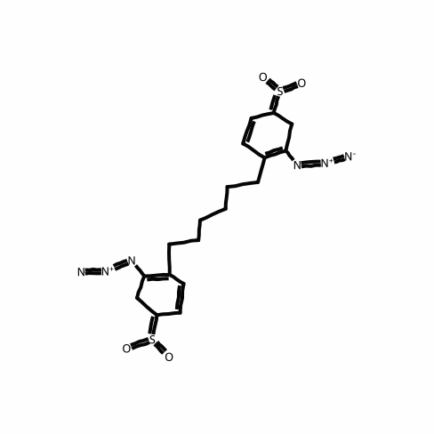 [N-]=[N+]=NC1=C(CCCCCCC2=C(N=[N+]=[N-])CC(=S(=O)=O)C=C2)C=CC(=S(=O)=O)C1